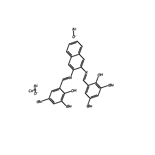 CC(=O)[O-].CC(=O)[O-].CC(C)(C)c1cc(C=Nc2cc3ccccc3cc2N=Cc2cc(C(C)(C)C)cc(C(C)(C)C)c2O)c(O)c(C(C)(C)C)c1.[Co+2]